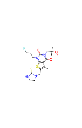 COC(C)(C)Cn1c(=O)c2c(C)c(CN3CCNC3=S)sc2n(CCCF)c1=O